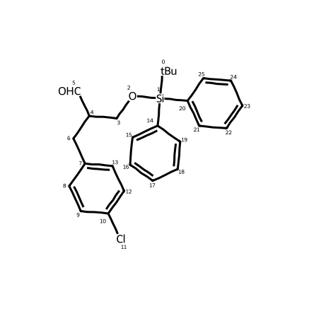 CC(C)(C)[Si](OCC(C=O)Cc1ccc(Cl)cc1)(c1ccccc1)c1ccccc1